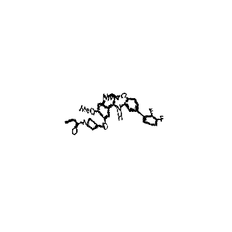 C=CC(=O)N1CC(Oc2cc3c(Nc4cc(-c5cccc(F)c5F)ccc4OC)ncnc3cc2OC)C1